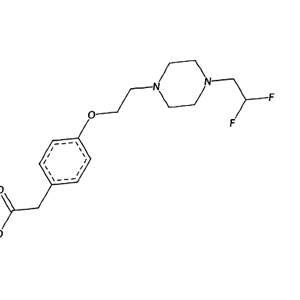 O=C(O)Cc1ccc(OCCN2CCN(CC(F)F)CC2)cc1